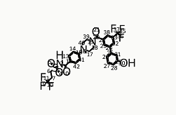 O=C(NS(=O)(=O)CCC(F)(F)F)c1ccc(N2CCN(C(=O)c3cc(-c4cccc(O)c4)cc(C(F)(F)F)c3)CC2)cc1